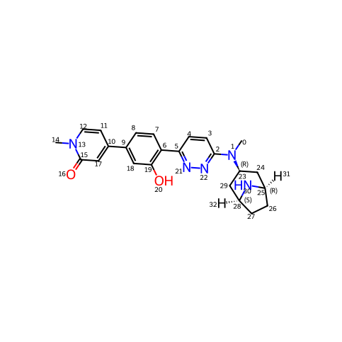 CN(c1ccc(-c2ccc(-c3ccn(C)c(=O)c3)cc2O)nn1)[C@H]1C[C@H]2CC[C@@H](C1)N2